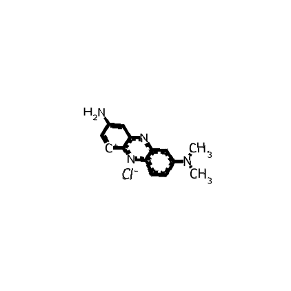 CN(C)c1ccc2nc3c(nc2c1)C=C(N)C=[C+]3.[Cl-]